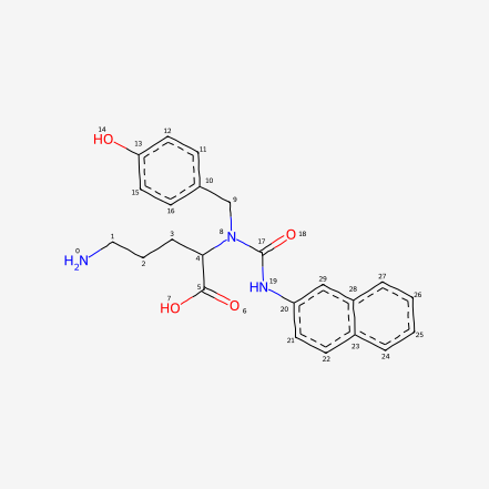 NCCCC(C(=O)O)N(Cc1ccc(O)cc1)C(=O)Nc1ccc2ccccc2c1